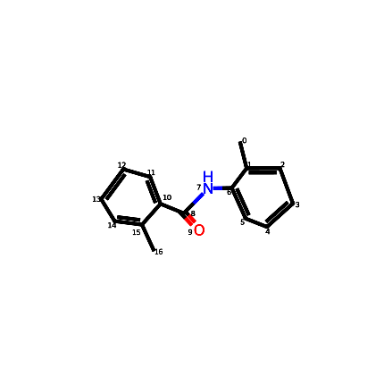 Cc1ccccc1NC(=O)c1ccccc1C